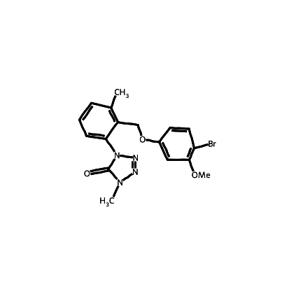 COc1cc(OCc2c(C)cccc2-n2nnn(C)c2=O)ccc1Br